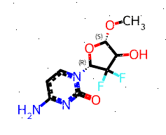 CO[C@H]1O[C@@H](n2ccc(N)nc2=O)C(F)(F)C1O